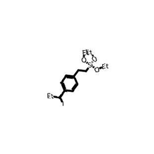 CCO[Si](CCc1ccc(C(I)CC)cc1)(OCC)OCC